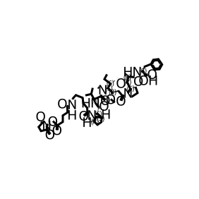 CC[C@H](C)[C@@H]([C@@H](CC(=O)N1CCC[C@H]1[C@H](OC)[C@@H](C)C(=O)N[C@@H](Cc1ccccc1)C(=O)O)OC)N(C)C(=O)[C@@H](NC(=O)[C@@H]1[C@H]2CC[C@H](C2)N1C(=O)CCCCCNC(=O)CCCC(=O)ON1C(=O)CCC1=O)C(C)C